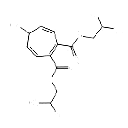 CC1C=CC(C(=O)OCC(C)C)=C(C(=O)OCC(C)C)C=C1